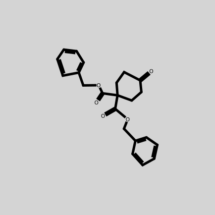 O=C1CCC(C(=O)OCc2ccccc2)(C(=O)OCc2ccccc2)CC1